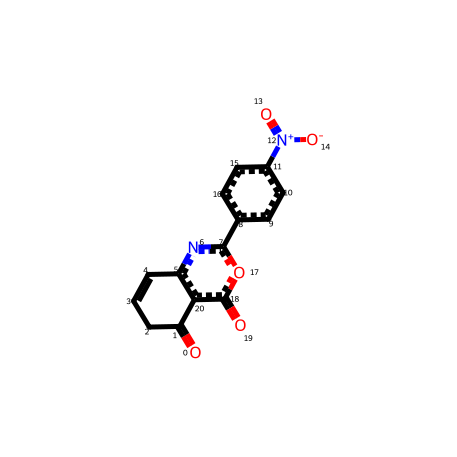 O=C1CC=Cc2nc(-c3ccc([N+](=O)[O-])cc3)oc(=O)c21